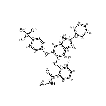 CCS(=O)(=O)c1ccc(Oc2cc3[nH]c(-c4cnccn4)nc3cc2Oc2c(F)cccc2C(=O)NC(C)C)cn1